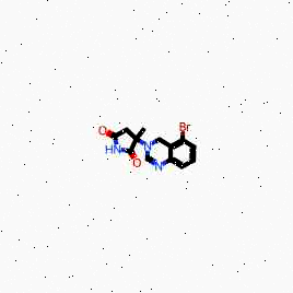 CC1(N2C=Nc3cccc(Br)c3C2)CC(=O)NC1=O